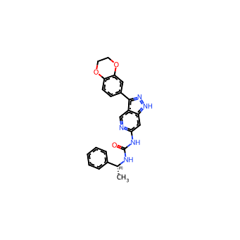 C[C@@H](NC(=O)Nc1cc2[nH]nc(-c3ccc4c(c3)OCCO4)c2cn1)c1ccccc1